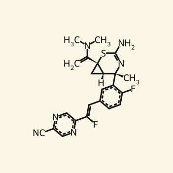 C=C(N(C)C)[C@]12C[C@H]1[C@@](C)(c1cc(/C=C(\F)c3cnc(C#N)cn3)ccc1F)N=C(N)S2